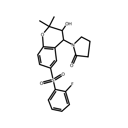 CC1(C)Oc2ccc(S(=O)(=O)c3ccccc3F)cc2C(N2CCCC2=O)C1O